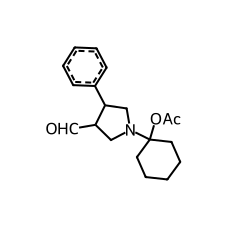 CC(=O)OC1(N2CC(C=O)C(c3ccccc3)C2)CCCCC1